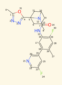 Cc1nnc(C23CC(C)CC(C2)N3C(=O)Nc2cc(-c3cncc(F)c3)c(C)cc2F)o1